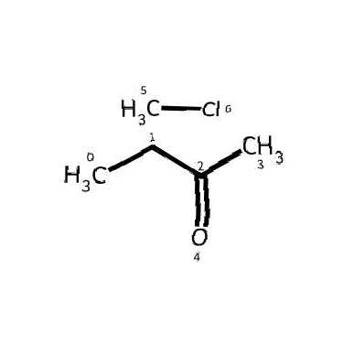 CCC(C)=O.CCl